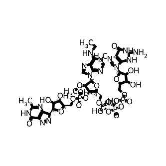 CCNc1ncnc2c1ncn2[C@@H]1O[C@H](COP(=O)(O)OP(=O)(O)OP(=O)(O)OCC2O[C@@H](n3c[n+](C)c4c3NC(N)NC4=O)C(O)C2O)[C@H](OP(=O)(O)OC[C@H]2O[C@@H](C3N=Nc4c3nc(C)[nH]c4=O)C(O)[C@H]2O)C1OC